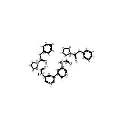 O=C(Nc1cncc(-c2cncc(NC(=O)[C@@H]3CCCN3C(=O)Cc3ccccc3)c2)c1)[C@@H]1CCCN1C(=O)Cc1ccccc1